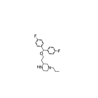 CCCN1CCNC(CCOC(c2ccc(F)cc2)c2ccc(F)cc2)C1